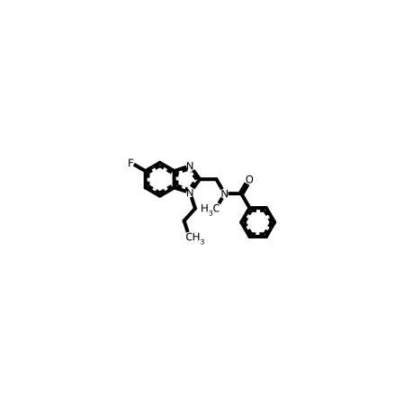 CCCn1c(CN(C)C(=O)c2ccccc2)nc2cc(F)ccc21